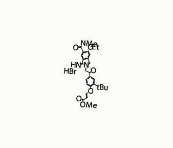 Br.CCOc1cc2c(cc1C(=O)NC)C(=N)N(CC(=O)c1ccc(O/C=C/C(=O)OC)c(C(C)(C)C)c1)C2